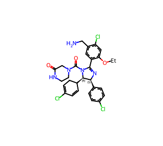 CCOc1cc(Cl)c(CN)cc1C1=N[C@@H](c2ccc(Cl)cc2)[C@@H](C2C=CC(Cl)=CC2)N1C(=O)N1CCNC(=O)C1